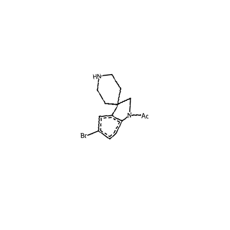 CC(=O)N1CC2(CCNCC2)c2cc(Br)ccc21